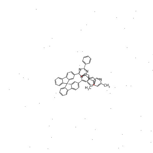 Cc1cc(C)c(-c2cccc(-c3ccc4c(c3)C3(c5ccccc5-4)c4ccccc4-c4ccc(-c5nc(-c6ccccc6)nc(-c6ccccc6)n5)cc43)c2)cn1